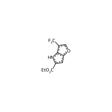 CCOC(=O)c1cc2occ(C(F)(F)F)c2[nH]1